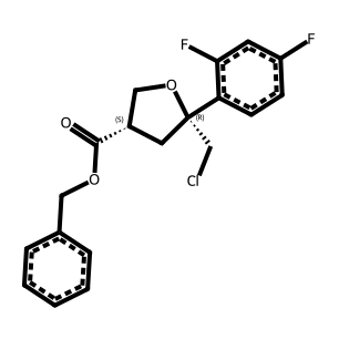 O=C(OCc1ccccc1)[C@@H]1CO[C@@](CCl)(c2ccc(F)cc2F)C1